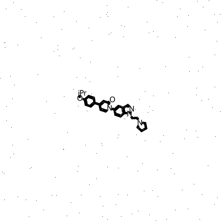 CC(C)Oc1ccc(-c2ccn(-c3ccc4c(cnn4CCN4CCCC4)c3)c(=O)c2)cc1